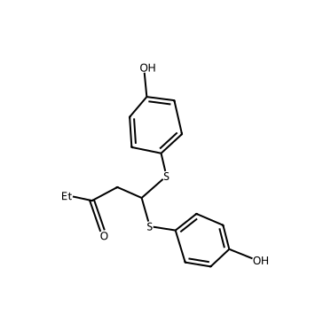 CCC(=O)CC(Sc1ccc(O)cc1)Sc1ccc(O)cc1